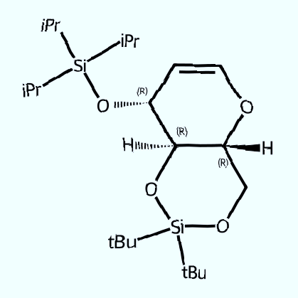 CC(C)[Si](O[C@@H]1C=CO[C@@H]2CO[Si](C(C)(C)C)(C(C)(C)C)O[C@@H]12)(C(C)C)C(C)C